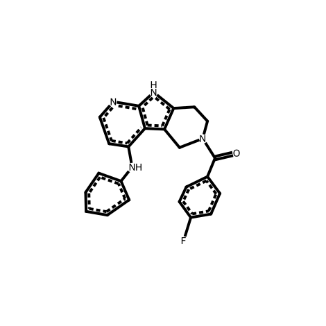 O=C(c1ccc(F)cc1)N1CCc2[nH]c3nccc(Nc4ccccc4)c3c2C1